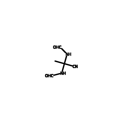 CC(C#N)(NC=O)NC=O